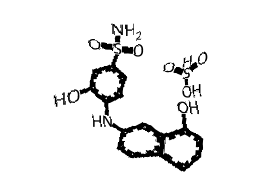 NS(=O)(=O)c1ccc(Nc2ccc3cccc(O)c3c2)c(O)c1.O=[SH](=O)O